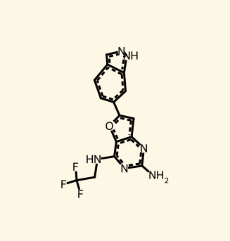 Nc1nc(NCC(F)(F)F)c2oc(-c3ccc4cn[nH]c4c3)cc2n1